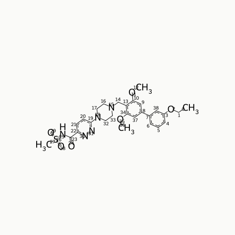 CCOc1cccc(-c2cc(OC)c(CN3CCN(c4ccc(C(=O)NS(C)(=O)=O)nn4)CC3)c(OC)c2)c1